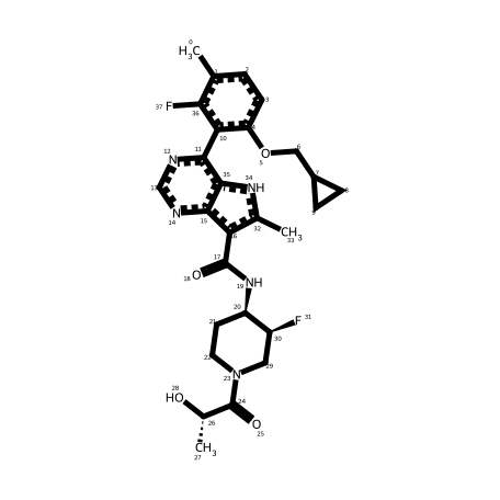 Cc1ccc(OCC2CC2)c(-c2ncnc3c(C(=O)N[C@@H]4CCN(C(=O)[C@H](C)O)C[C@@H]4F)c(C)[nH]c23)c1F